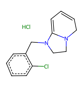 Cl.Clc1ccccc1CN1CCN2CC=CC=C21